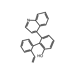 C=Cc1ccccc1-c1c(O)cccc1-c1ccnc2ccccc12